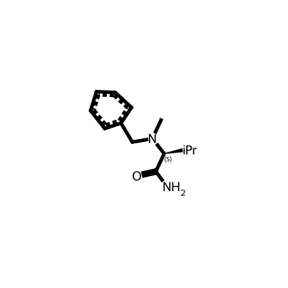 CC(C)[C@@H](C(N)=O)N(C)Cc1ccccc1